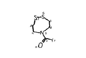 O=C(I)N1CCSSCC1